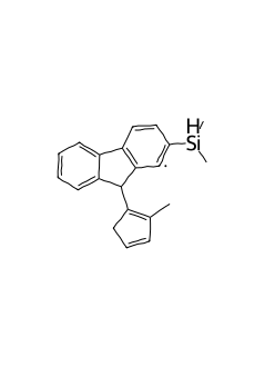 CC1=C(C2c3[c]c([SiH](C)C)ccc3-c3ccccc32)CC=C1